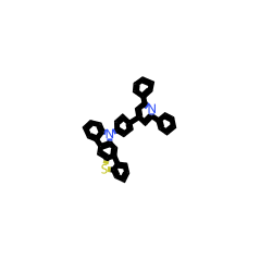 c1ccc(-c2cc(-c3ccc(-n4c5ccccc5c5cc6sc7ccccc7c6cc54)cc3)cc(-c3ccccc3)n2)cc1